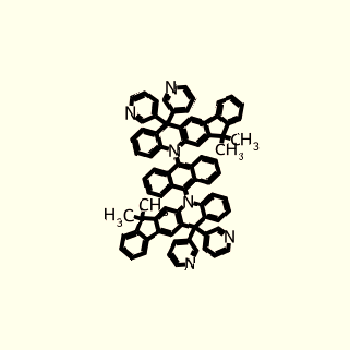 CC1(C)c2ccccc2-c2cc3c(cc21)N(c1c2ccccc2c(N2c4ccccc4C(c4cccnc4)(c4cccnc4)c4cc5c(cc42)C(C)(C)c2ccccc2-5)c2ccccc12)c1ccccc1C3(c1cccnc1)c1cccnc1